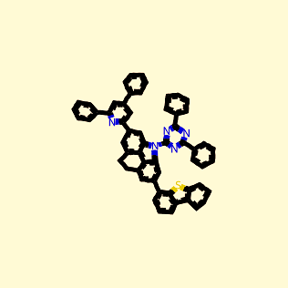 c1ccc(-c2cc(-c3ccccc3)nc(-c3cc4c5c6c(cc(-c7cccc8c7sc7ccccc78)cc6n(-c6nc(-c7ccccc7)nc(-c7ccccc7)n6)c5c3)CC4)c2)cc1